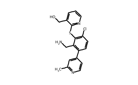 Cc1cc(-c2ccc(Cl)c(Sc3ncccc3CO)c2CN)ccn1